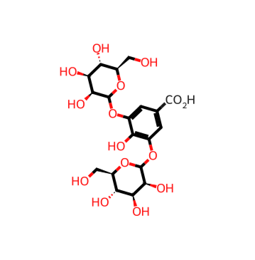 O=C(O)c1cc(OC2O[C@H](CO)[C@@H](O)[C@H](O)[C@@H]2O)c(O)c(OC2O[C@H](CO)[C@@H](O)[C@H](O)[C@@H]2O)c1